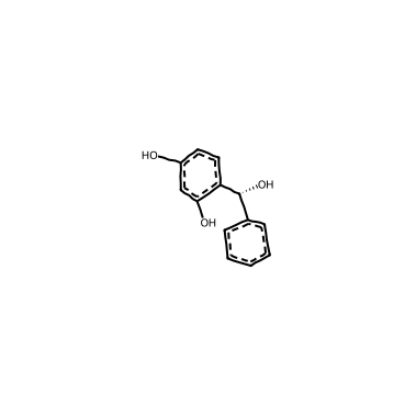 Oc1ccc([C@H](O)c2ccccc2)c(O)c1